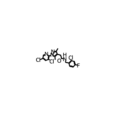 Cc1nn(-c2ncc(Cl)cc2Cl)c(C)c1CC(=O)NCc1ccc(F)cc1Cl